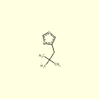 CC(C)(C)Cc1cscn1